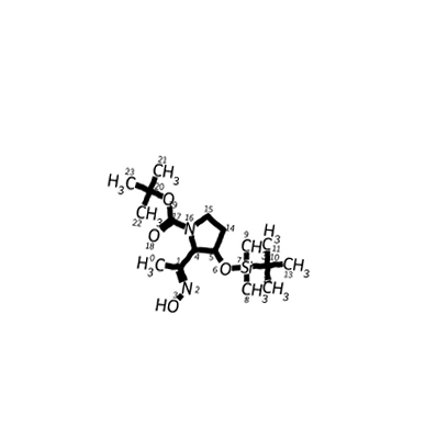 CC(=NO)C1C(O[Si](C)(C)C(C)(C)C)CCN1C(=O)OC(C)(C)C